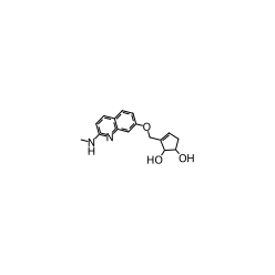 CNc1ccc2ccc(OCC3=CCC(O)C3O)cc2n1